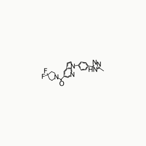 Cc1nnc(-c2ccc(-n3ccc4cc(C(=O)N5CCC(F)(F)CC5)cnc43)cc2)[nH]1